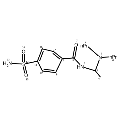 CCCN(CCC)C(C)NC(=O)c1ccc(S(N)(=O)=O)cc1